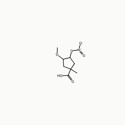 COC1CC(C)(C(=O)O)CC1O[N+](=O)[O-]